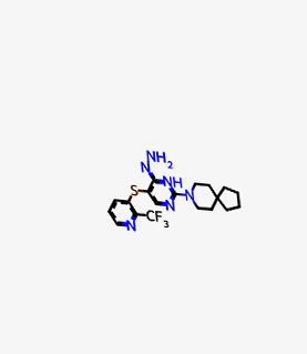 N/N=c1\[nH]c(N2CCC3(CCCC3)CC2)ncc1Sc1cccnc1C(F)(F)F